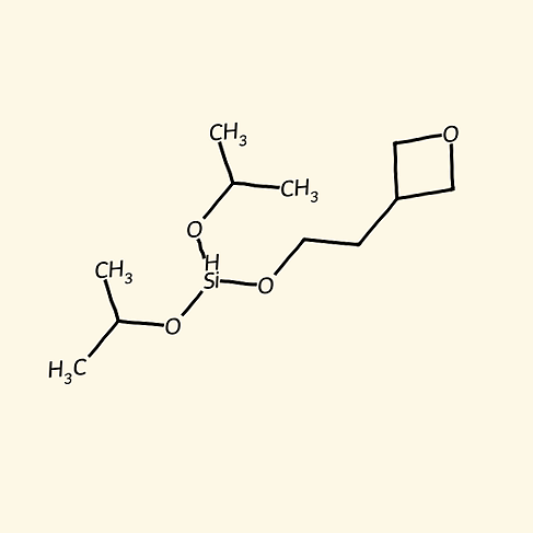 CC(C)O[SiH](OCCC1COC1)OC(C)C